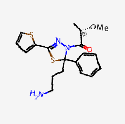 CO[C@@H](C)C(=O)N1N=C(c2cccs2)SC1(CCCN)c1ccccc1